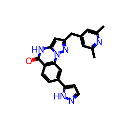 Cc1cc(Cc2cc3[nH]c(=O)c4ccc(-c5ccn[nH]5)cc4n3n2)cc(C)n1